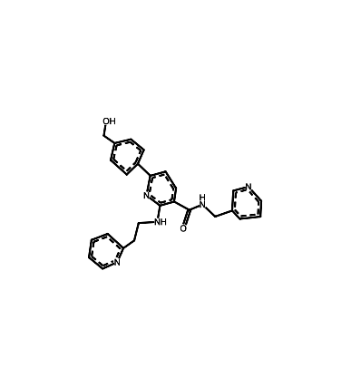 O=C(NCc1cccnc1)c1ccc(-c2ccc(CO)cc2)nc1NCCc1ccccn1